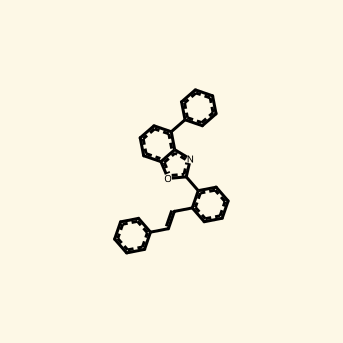 C(=Cc1ccccc1-c1nc2c(-c3ccccc3)cccc2o1)c1ccccc1